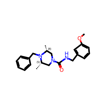 COc1cccc(CNC(=O)N2C[C@@H](C)N(Cc3ccccc3)[C@@H](C)C2)c1